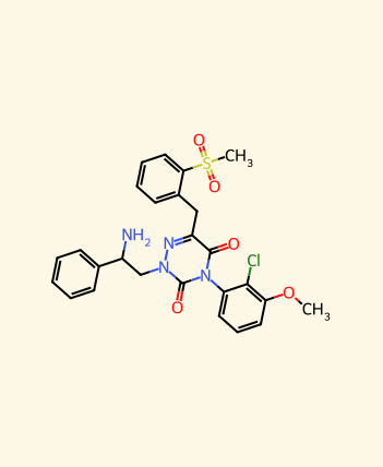 COc1cccc(-n2c(=O)c(Cc3ccccc3S(C)(=O)=O)nn(CC(N)c3ccccc3)c2=O)c1Cl